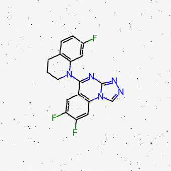 Fc1ccc2c(c1)N(c1nc3nncn3c3cc(F)c(F)cc13)CCC2